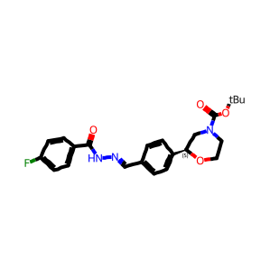 CC(C)(C)OC(=O)N1CCO[C@@H](c2ccc(C=NNC(=O)c3ccc(F)cc3)cc2)C1